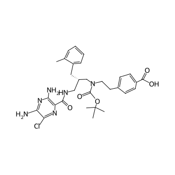 Cc1ccccc1C[C@@H](CNC(=O)c1nc(Cl)c(N)nc1N)CN(CCc1ccc(C(=O)O)cc1)C(=O)OC(C)(C)C